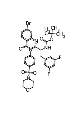 CC(C)(C)OC(=O)N[C@H](Cc1cc(F)cc(F)c1)c1nc2cc(Br)ccc2c(=O)n1-c1ccc(S(=O)(=O)N2CCOCC2)cc1